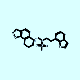 CS(=O)(=O)N(CCc1cccc2ccoc12)C[C@@H]1CCCc2c1ccc1c2OOC1